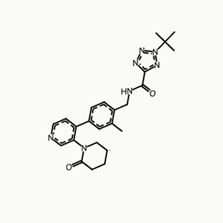 Cc1cc(-c2ccncc2N2C[CH]CCC2=O)ccc1CNC(=O)c1nnn(C(C)(C)C)n1